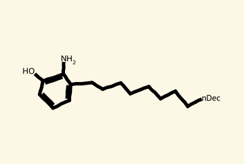 CCCCCCCCCCCCCCCCCCc1cccc(O)c1N